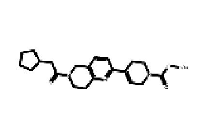 CCCCOC(=O)N1CC=C(c2ccc3c(n2)CCN(C(=O)CC2CCCC2)C3)CC1